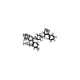 CC(C(c1ccc(F)cc1F)C(O)n1cncn1)N1CCN(Cc2cnoc2-c2ccccc2)CC1